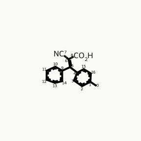 Cc1ccc(C(=C(C#N)C(=O)O)c2ccccc2)cc1